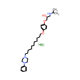 CC(C)NC[C@H](O)COc1ccc(OCCCCCCCCCCCN2CCN(c3ccccc3)CC2)cc1.Cl.Cl